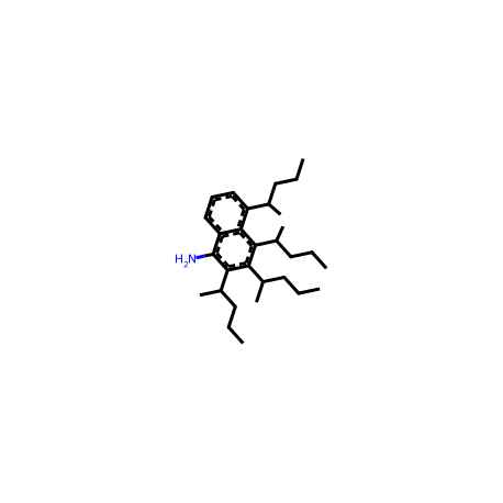 CCCC(C)c1c(C(C)CCC)c(C(C)CCC)c2c(C(C)CCC)cccc2c1N